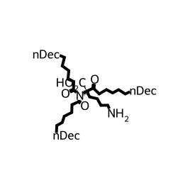 CCCCCCCCCCCCCCCC(=O)N(C(=O)CCCCCCCCCCCCCCC)[C@@](CCCCN)(C(=O)O)C(=O)CCCCCCCCCCCCCCC